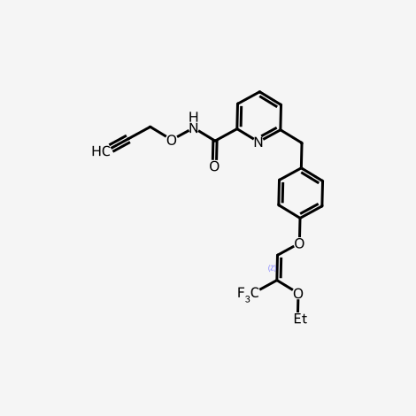 C#CCONC(=O)c1cccc(Cc2ccc(O/C=C(\OCC)C(F)(F)F)cc2)n1